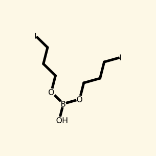 OB(OCCCI)OCCCI